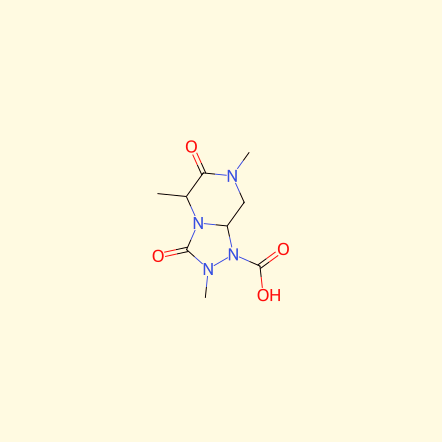 CC1C(=O)N(C)CC2N1C(=O)N(C)N2C(=O)O